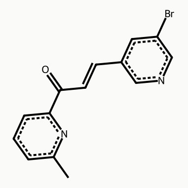 Cc1cccc(C(=O)C=Cc2cncc(Br)c2)n1